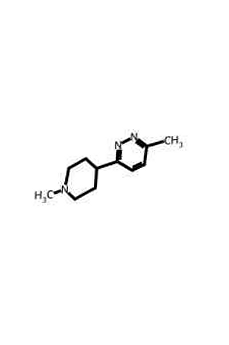 Cc1ccc(C2CCN(C)CC2)nn1